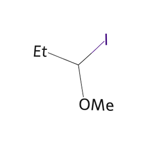 [CH2]CC(I)OC